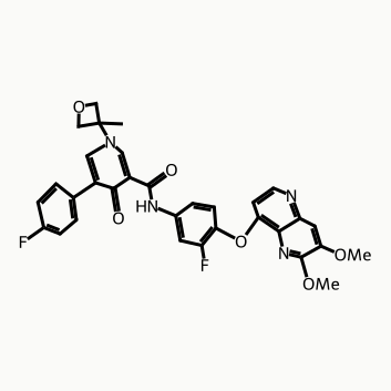 COc1cc2nccc(Oc3ccc(NC(=O)c4cn(C5(C)COC5)cc(-c5ccc(F)cc5)c4=O)cc3F)c2nc1OC